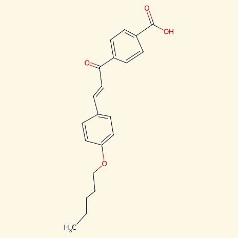 CCCCCOc1ccc(C=CC(=O)c2ccc(C(=O)O)cc2)cc1